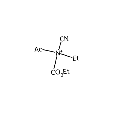 CCOC(=O)[N+](C#N)(CC)C(C)=O